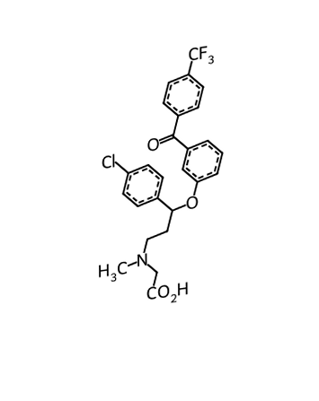 CN(CCC(Oc1cccc(C(=O)c2ccc(C(F)(F)F)cc2)c1)c1ccc(Cl)cc1)CC(=O)O